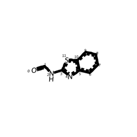 O=[C]Nc1nc2ccccc2s1